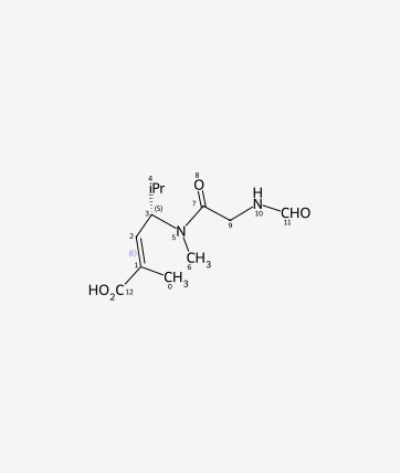 C/C(=C\[C@H](C(C)C)N(C)C(=O)CNC=O)C(=O)O